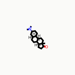 CN(C)[C@H]1CC[C@H]2[C@@H](CCC3[C@@H]2CCC2(C)C(=O)CC[C@@H]32)C1